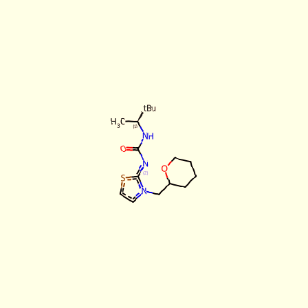 C[C@H](NC(=O)/N=c1\sccn1CC1CCCCO1)C(C)(C)C